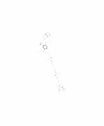 COc1cc([N+](=O)[O-])c(C(C)OC(=O)ON2C(=O)CCC2=O)cc1OCCCC(=O)NCCCOCCNC(=O)CCCC[C@@H]1SC[C@@H]2NC(=O)N[C@@H]21